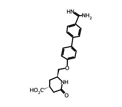 N=C(N)c1ccc(-c2ccc(OC[C@@H]3C[C@@H](C(=O)O)CC(=O)N3)cc2)cc1